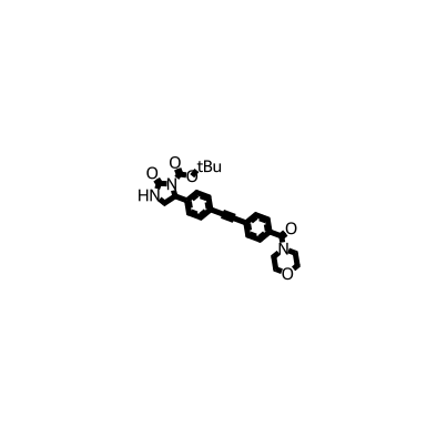 CC(C)(C)OC(=O)N1C(=O)NCC1c1ccc(C#Cc2ccc(C(=O)N3CCOCC3)cc2)cc1